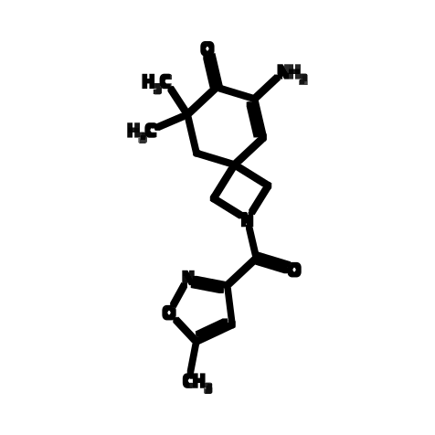 Cc1cc(C(=O)N2CC3(C=C(N)C(=O)C(C)(C)C3)C2)no1